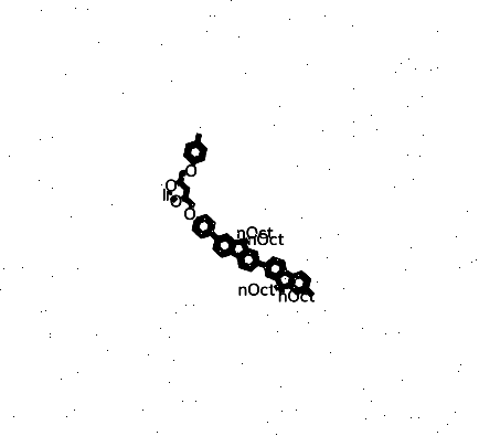 CCCCCCCCC1(CCCCCCCC)c2cc(C)ccc2-c2ccc(-c3ccc4c(c3)C(CCCCCCCC)(CCCCCCCC)c3cc(-c5ccc(OCC6CC(COc7ccc(C)cc7)[O][Ir][O]6)cc5)ccc3-4)cc21